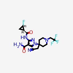 N#CCC1(n2cc(C(N)=O)c(NC(=O)[C@H]3C[C@H]3F)n2)CCN(CC(F)(F)F)CC1